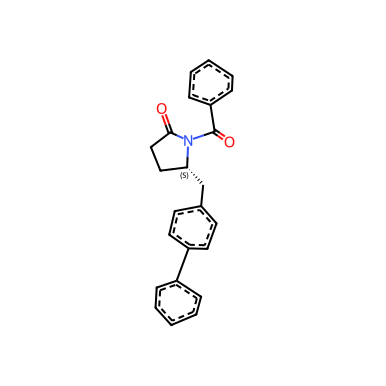 O=C1CC[C@@H](Cc2ccc(-c3ccccc3)cc2)N1C(=O)c1ccccc1